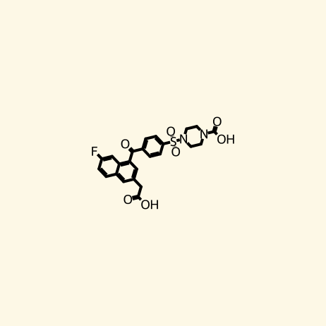 O=C(O)Cc1cc(C(=O)c2ccc(S(=O)(=O)N3CCN(C(=O)O)CC3)cc2)c2cc(F)ccc2c1